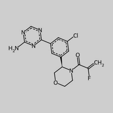 C=C(F)C(=O)N1CCOC[C@H]1c1cc(Cl)cc(-c2ncnc(N)n2)c1